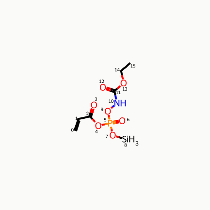 C=CC(=O)OP(=O)(O[SiH3])ONC(=O)OCC